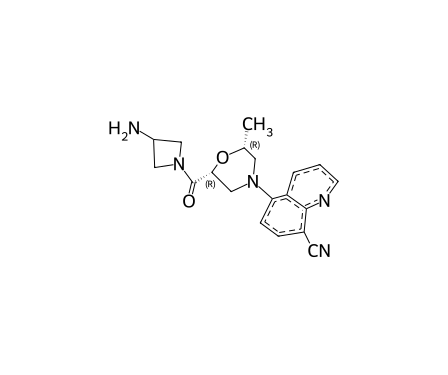 C[C@@H]1CN(c2ccc(C#N)c3ncccc23)C[C@H](C(=O)N2CC(N)C2)O1